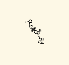 CC(C)(C)OC(=O)NCCCn1cc(Br)c2cc(S(=O)(=O)N3CCN(Cc4ccccc4Cl)CC3)ccc21